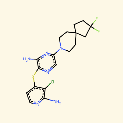 Nc1nc(N2CCC3(CC2)CCC(F)(F)C3)cnc1Sc1ccnc(N)c1Cl